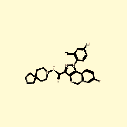 O=C(NN1CCC2(CCCC2)CC1)c1nn(-c2ccc(Cl)cc2Cl)c2c1SCc1cc(Cl)ccc1-2